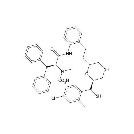 Cc1cc(Cl)ccc1C(S)[C@@H]1CNC[C@@H](CCc2ccccc2NC(=O)[C@H](C(c2ccccc2)c2ccccc2)N(C)C(=O)O)O1